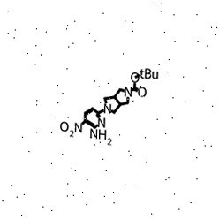 CC(C)(C)OC(=O)N1CC2CN(c3ccc([N+](=O)[O-])c(N)n3)CC2C1